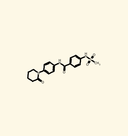 CS(=O)(=O)Nc1ccc(C(=O)Nc2ccc(N3CCCCC3=O)cc2)cc1